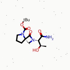 C[C@@H](O)[C@@H](C(N)=O)N1C[C@@]2(CCCN2C(=O)OC(C)(C)C)C1=O